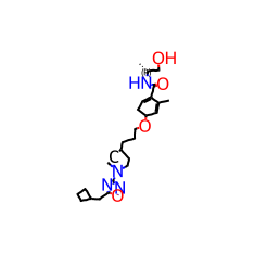 CC1=CC(OCCCC2CCN(c3noc(CC4CCC4)n3)CC2)CC=C1C(=O)N[C@H](C)CO